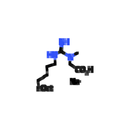 CCCCCCCCCCCCNC(=N)N(C)CC(=O)O.[Na]